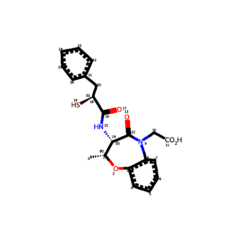 C[C@H]1Oc2ccccc2N(CC(=O)O)C(=O)[C@H]1NC(=O)[C@@H](S)Cc1ccccc1